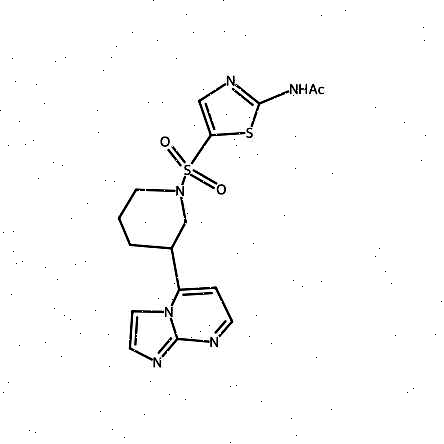 CC(=O)Nc1ncc(S(=O)(=O)N2CCCC(c3ccnc4nccn34)C2)s1